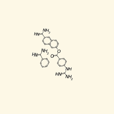 N=C(N)Nc1ccc(C(=O)Oc2ccc3cc(C(=N)N)ccc3c2)cc1.N=C(N)c1ccccc1